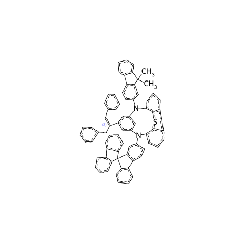 CC1(C)c2ccccc2-c2ccc(N3c4cc(/C(=C\c5ccccc5)Cc5ccccc5)cc(c4)N(c4ccc5c(c4)C4(c6ccccc6-c6ccccc64)c4ccccc4-5)c4cccc5c4sc4c3cccc45)cc21